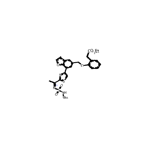 CCOC(=O)Cc1ccccc1OCc1cc(-c2csc(/C(C)=N\S(=O)(=O)NC(C)(C)C)n2)c2occc2c1